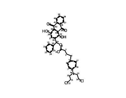 O=C(CCCc1ccc(N(CCCl)CCCl)cc1)OC(c1ccccc1)c1cc(O)c2c(c1O)C(=O)c1ccccc1C2=O